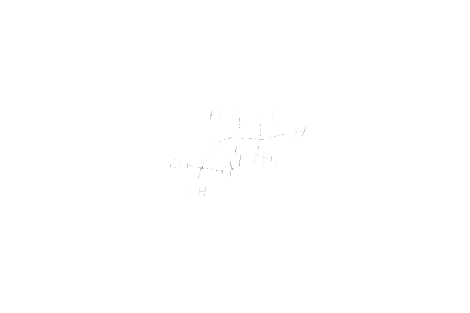 CCCCC(C)(C)O[Si](C)(C)C(C)(C)CCCC